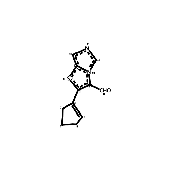 O=Cc1c(C2=CCCC2)sc2cncn12